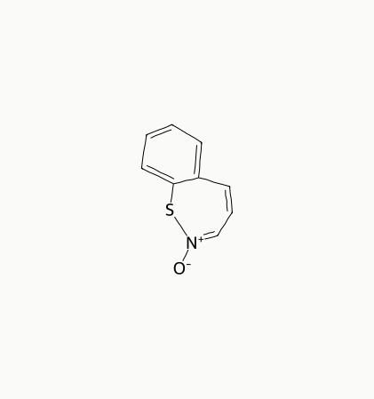 [O-][N+]1=CC=Cc2ccccc2S1